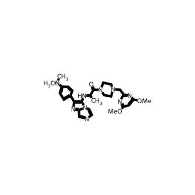 COc1cc(OC)nc(CN2CCN(C(=O)C(C)Nc3c(-c4ccc(N(C)C)cc4)nc4cnccn34)CC2)n1